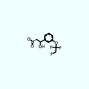 O=[N+]([O-])CC(O)c1cccc(OC(F)(F)CF)c1